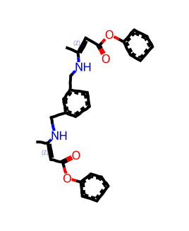 C/C(=C/C(=O)Oc1ccccc1)NCc1cccc(CN/C(C)=C\C(=O)Oc2ccccc2)c1